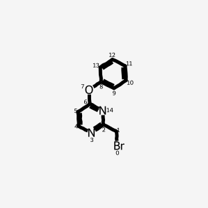 BrCc1nccc(Oc2ccccc2)n1